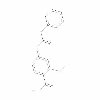 COC(=O)c1ccc(NC(=O)Cc2ccccc2)cc1CO